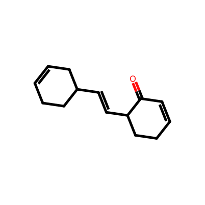 O=C1C=CCCC1C=CC1CC=CCC1